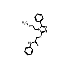 COCCn1c(SCC(=O)Nc2ccccc2)nnc1-c1ccccc1